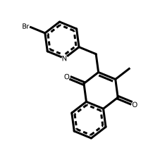 CC1=C(Cc2ccc(Br)cn2)C(=O)c2ccccc2C1=O